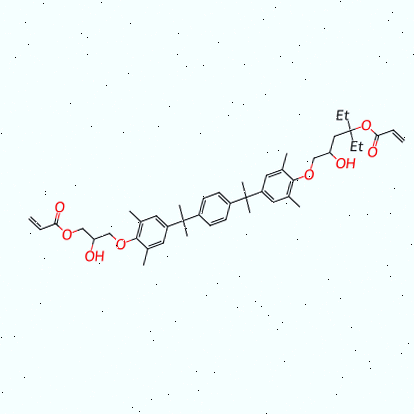 C=CC(=O)OCC(O)COc1c(C)cc(C(C)(C)c2ccc(C(C)(C)c3cc(C)c(OCC(O)CC(CC)(CC)OC(=O)C=C)c(C)c3)cc2)cc1C